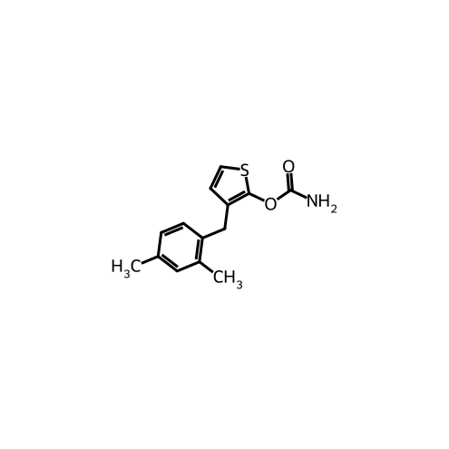 Cc1ccc(Cc2ccsc2OC(N)=O)c(C)c1